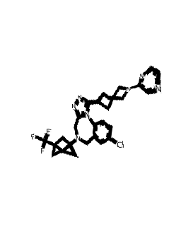 FC(F)(F)C12CC3(N4Cc5cc(Cl)ccc5-n5c(nnc5C5CC6(C5)CN(c5cnccn5)C6)C4)CC31C2